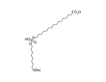 CCCCCCCCCCCCCCCCCCOP(=O)(O)OCCCCCCCCCCCCCCCC(=O)O